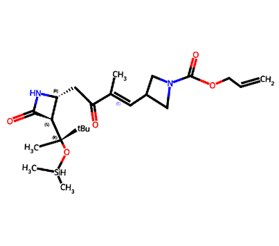 C=CCOC(=O)N1CC(/C=C(\C)C(=O)C[C@H]2NC(=O)[C@@H]2[C@@](C)(O[SiH](C)C)C(C)(C)C)C1